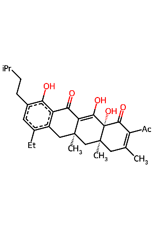 CCc1cc(CCC(C)C)c(O)c2c1C[C@]1(C)C[C@]3(C)CC(C)=C(C(C)=O)C(=O)[C@]3(O)C(O)=C1C2=O